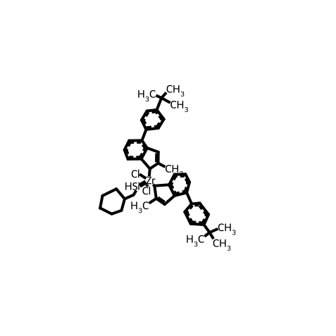 CC1=Cc2c(-c3ccc(C(C)(C)C)cc3)cccc2[CH]1[Zr]([Cl])([Cl])(=[SiH]CC1CCCCC1)[CH]1C(C)=Cc2c(-c3ccc(C(C)(C)C)cc3)cccc21